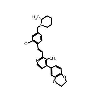 Cc1c(-c2ccc3c(c2)OCCO3)ccnc1/C=C/c1ccc(CN2CCCC[C@H]2C)cc1Cl